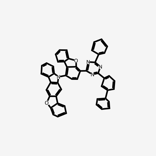 c1ccc(-c2cccc(-c3nc(-c4ccccc4)nc(-c4ccc(-n5c6ccccc6c6cc7oc8ccccc8c7cc65)c5c4oc4ccccc45)n3)c2)cc1